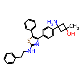 CC1(O)CC(N)(c2ccc(-c3nc(NCCc4ccccc4)sc3-c3ccccc3)cc2)C1